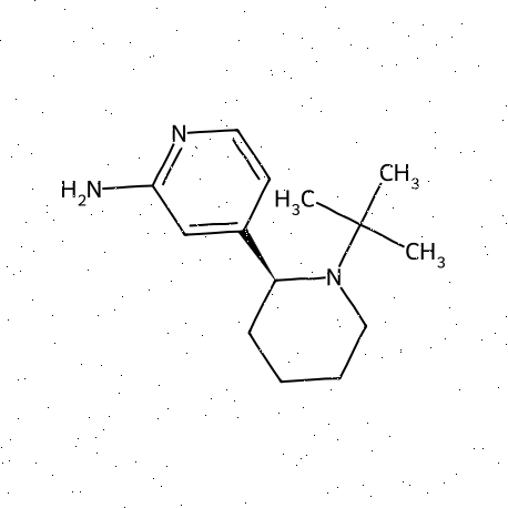 CC(C)(C)N1CCCC[C@H]1c1ccnc(N)c1